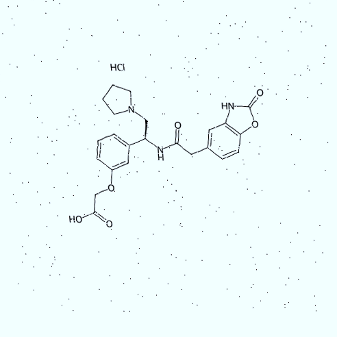 Cl.O=C(O)COc1cccc([C@@H](CN2CCCC2)NC(=O)Cc2ccc3oc(=O)[nH]c3c2)c1